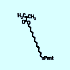 C=C(C)C(=O)OCCCCCCCCC=CCC=CCCCCC